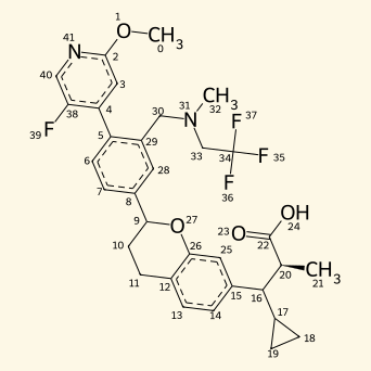 COc1cc(-c2ccc(C3CCc4ccc(C(C5CC5)[C@H](C)C(=O)O)cc4O3)cc2CN(C)CC(F)(F)F)c(F)cn1